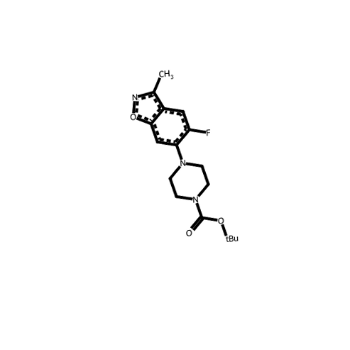 Cc1noc2cc(N3CCN(C(=O)OC(C)(C)C)CC3)c(F)cc12